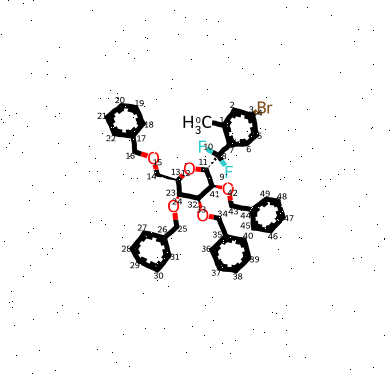 Cc1cc(Br)ccc1C(F)(F)[C@H]1O[C@H](COCc2ccccc2)[C@@H](OCc2ccccc2)[C@H](OCc2ccccc2)[C@@H]1OCc1ccccc1